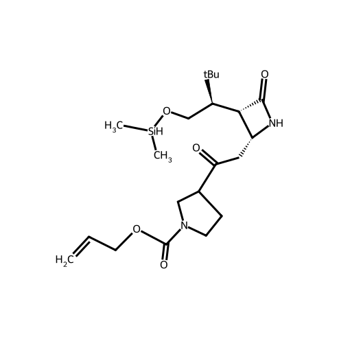 C=CCOC(=O)N1CCC(C(=O)C[C@H]2NC(=O)[C@H]2[C@@H](CO[SiH](C)C)C(C)(C)C)C1